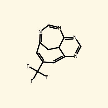 FC(F)(F)C1=CC2=NC=NC3=NC=NC(=C1)C3C2